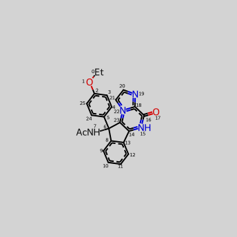 CCOc1ccc(C2(NC(C)=O)c3ccccc3-c3[nH]c(=O)c4nccn4c32)cc1